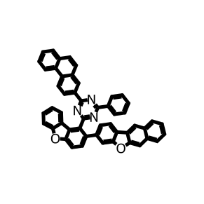 c1ccc(-c2nc(-c3ccc4c(ccc5ccccc54)c3)nc(-c3c(-c4ccc5c(c4)oc4cc6ccccc6cc45)ccc4oc5ccccc5c34)n2)cc1